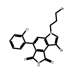 O=C1NC(=O)c2c1c(-c1ccccc1Cl)cc1c2c(Br)cn1CCCBr